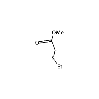 CCS[CH]C(=O)OC